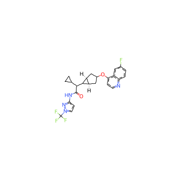 O=C(Nc1ccn(C(F)(F)F)n1)C(C1CC1)C1[C@H]2CC(Oc3ccnc4ccc(F)cc34)C[C@@H]12